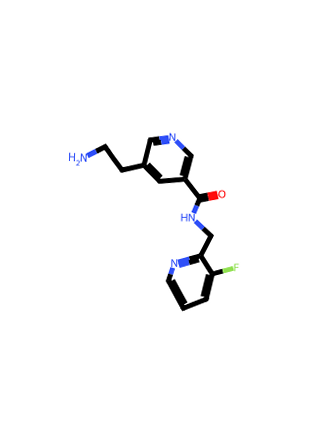 NCCc1cncc(C(=O)NCc2ncccc2F)c1